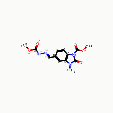 Cn1c(=O)n(C(=O)OC(C)(C)C)c2ccc(/C=N/NC(=O)OC(C)(C)C)cc21